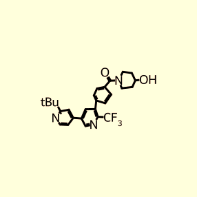 CC(C)(C)c1cc(-c2cnc(C(F)(F)F)c(-c3ccc(C(=O)N4CCC(O)CC4)cc3)c2)ccn1